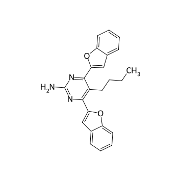 CCCCc1c(-c2cc3ccccc3o2)nc(N)nc1-c1cc2ccccc2o1